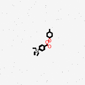 C=C[Si](CC)(CC)c1ccc(C(=O)OO[C]2CCC(C)CC2)cc1